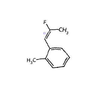 C/C(F)=C\c1ccccc1C